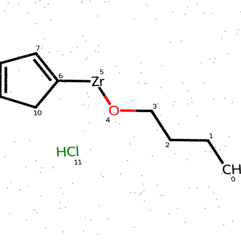 CCCC[O][Zr][C]1=CC=CC1.Cl